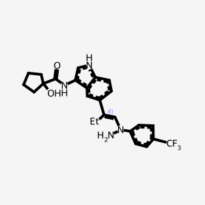 CC/C(=C\N(N)c1ccc(C(F)(F)F)cc1)c1ccc2[nH]cc(NC(=O)C3(O)CCCC3)c2c1